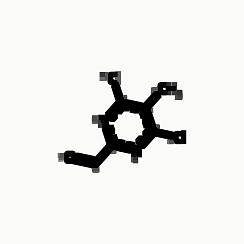 Cc1c(Cl)nc(C=O)nc1Cl